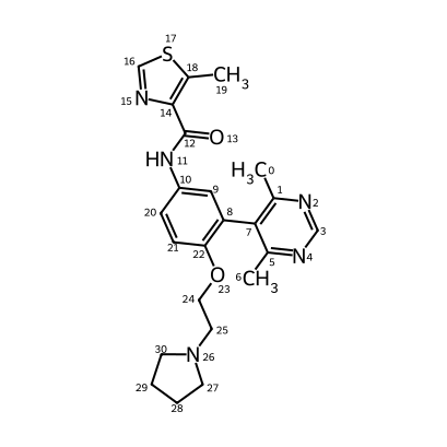 Cc1ncnc(C)c1-c1cc(NC(=O)c2ncsc2C)ccc1OCCN1CCCC1